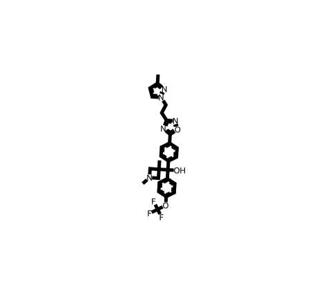 Cc1ccn(CCc2noc(-c3ccc(C(O)(c4ccc(OC(F)(F)F)cc4)C4(C)CN(C)C4)cc3)n2)n1